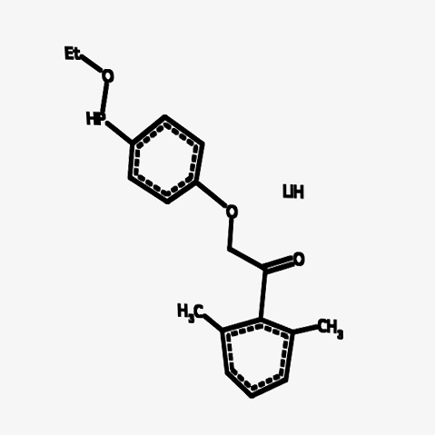 CCOPc1ccc(OCC(=O)c2c(C)cccc2C)cc1.[LiH]